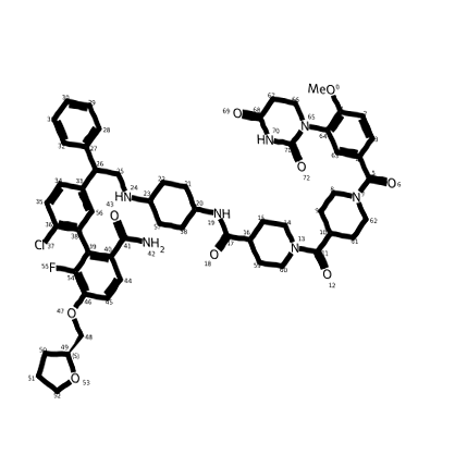 COc1ccc(C(=O)N2CCC(C(=O)N3CCC(C(=O)NC4CCC(NCC(c5ccccc5)c5ccc(Cl)c(-c6c(C(N)=O)ccc(OC[C@@H]7CCCO7)c6F)c5)CC4)CC3)CC2)cc1N1CCC(=O)NC1=O